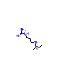 CC[C@@H](C)NCCCNC(=N)N